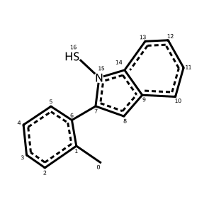 Cc1ccccc1-c1cc2ccccc2n1S